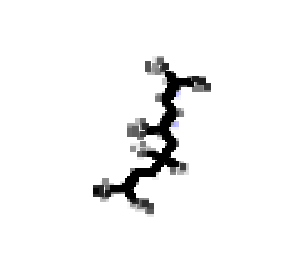 CCC(C)(CC=C(C)C)C/C(C)=C/C=C(\C)P